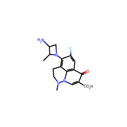 CC1C(N)CN1c1c(F)cc2c(=O)c(C(=O)O)cn3c2c1CCN3C